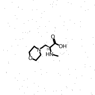 CN[C@@H](CN1CCOCC1)C(=O)O